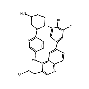 CCCc1cnc2ccc(-c3cc(Cl)c(O)c(Cl)c3)cc2c1Nc1ccc(N2CCCC(N)C2)nc1